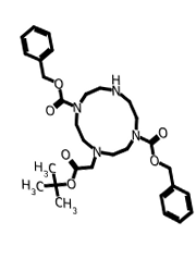 CC(C)(C)OC(=O)CN1CCN(C(=O)OCc2ccccc2)CCNCCN(C(=O)OCc2ccccc2)CC1